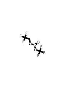 O=S(OCC(F)(F)F)OC(F)(F)F